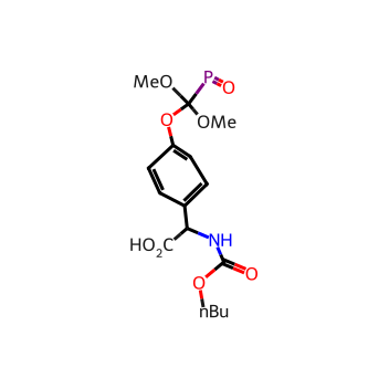 CCCCOC(=O)NC(C(=O)O)c1ccc(OC(OC)(OC)P=O)cc1